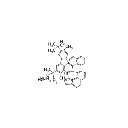 Cc1cc2c(cc1C(C)(C)C)-c1cc(C(C)(C)C)c(C)[c]([Hf]([C]3=CC=CC3)=[C](c3cccc4ccccc34)c3cccc4ccccc34)c1C2.Cl.Cl